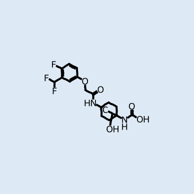 O=C(O)NC12CCC(NC(=O)COc3ccc(F)c(C(F)F)c3)(CC1)CC2O